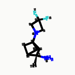 N[C@@H]1CC2(N3CC(F)(F)C3)CC1C2